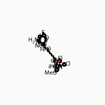 COc1ccc(C2=N[C@@H](c3ccc(Cl)cc3)[C@@H](c3ccc(Cl)cc3)N2C(=O)N2CCN(CCCCCCCCC(=O)NCCn3nc4c(c3C#N)-c3cnc(N)c(n3)N3CCC[C@@H]3c3cc(F)ccc3C(=O)N(C)C4)C(=O)C2)c(OC(C)C)c1